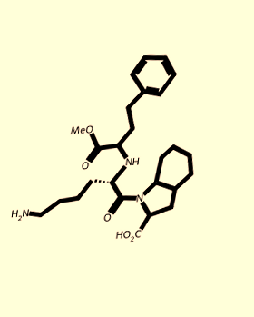 COC(=O)C(CCc1ccccc1)N[C@@H](CCCCN)C(=O)N1C(C(=O)O)CC2CCCCC21